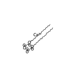 CCCCCCCCCCCCCCCCCCCCOC(=O)CCC(=O)[O-].CCCCCCCCCCCCCCCCCCCCOC(=O)CCC(=O)[O-].[Ca+2]